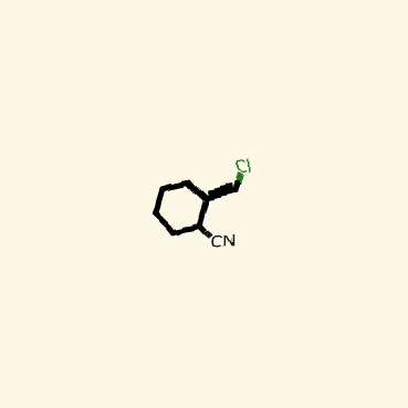 N#CC1CCCCC1=CCl